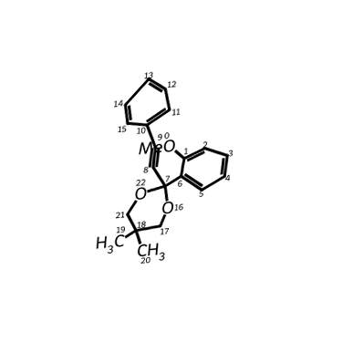 COc1ccccc1C1(C#Cc2ccccc2)OCC(C)(C)CO1